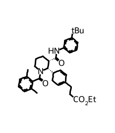 CCOC(=O)CCC1=CCC([C@H]2[C@@H](C(=O)Nc3cccc(C(C)(C)C)c3)CCCN2C(=O)c2c(C)cccc2C)C=C1